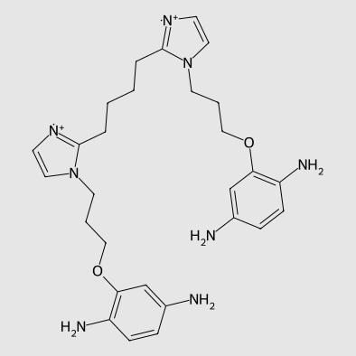 Nc1ccc(N)c(OCCCN2C=C[N+]=C2CCCCC2=[N+]C=CN2CCCOc2cc(N)ccc2N)c1